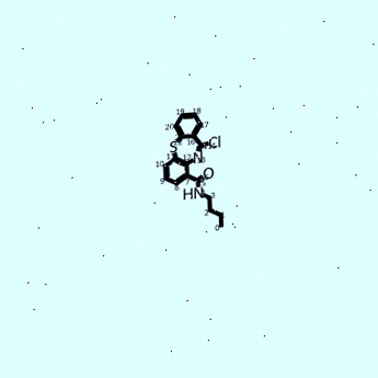 CCCCNC(=O)c1cccc2c1N=C(Cl)c1ccccc1S2